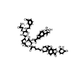 NC(=O)CC[C@H](NC(=O)[C@@H]1CC[C@@H]2CCN(C(=O)CCCCN3CCC4(CC3)COc3c4ccc4c3CN([C@H]3CCC(=O)NC3=O)C4=O)C[C@H](NC(=O)c3cc4cc(C(F)(F)P(=O)(O)O)ccc4s3)C(=O)N21)C(=O)NCc1cccc(Cl)c1